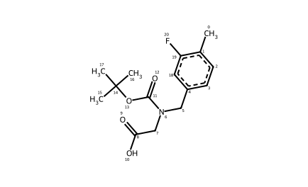 Cc1ccc(CN(CC(=O)O)C(=O)OC(C)(C)C)cc1F